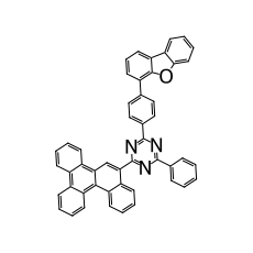 c1ccc(-c2nc(-c3ccc(-c4cccc5c4oc4ccccc45)cc3)nc(-c3cc4c5ccccc5c5ccccc5c4c4ccccc34)n2)cc1